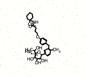 Cc1ccc(C2O[C@](CO)(C(C)O)[C@@H](O)C(O)[C@H]2O)cc1Cc1ccc(OCCCC(=O)NC2(C)CCCCC2)cc1